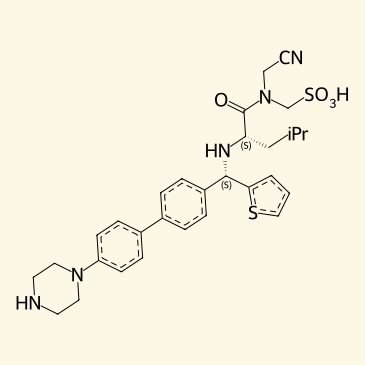 CC(C)C[C@H](N[C@@H](c1ccc(-c2ccc(N3CCNCC3)cc2)cc1)c1cccs1)C(=O)N(CC#N)CS(=O)(=O)O